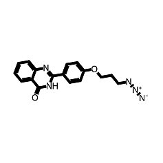 [N-]=[N+]=NCCCOc1ccc(-c2nc3ccccc3c(=O)[nH]2)cc1